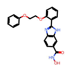 O=C(NO)c1ccc2nc(-c3ccccc3OCCOc3ccccc3)[nH]c2c1